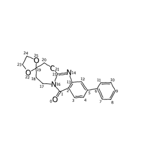 O=c1c2ccc(-c3ccccc3)cc2nc2n1CCC1(CC2)OCCO1